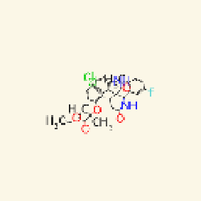 CCOC(=O)C(C)(C)Oc1ccc(Cl)cc1[C@H]1CC(=O)N[C@@H](c2cc(F)ccc2C)[C@]12C(=O)Nc1cc(Cl)ccc12